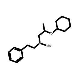 CC(CN(CCc1ccccc1)C(C)(C)C)OC1CCCCC1